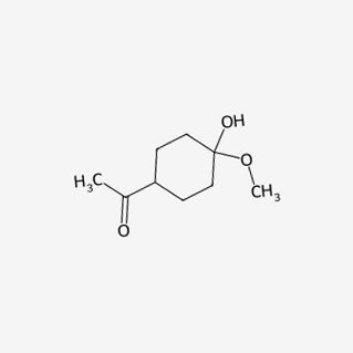 COC1(O)CCC(C(C)=O)CC1